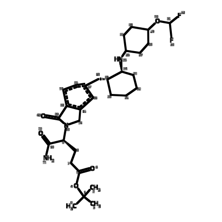 CC(C)(C)OC(=O)CC[C@@H](C(N)=O)N1Cc2cc(C[C@H]3CCCC[C@@H]3NC3CCC(OC(F)F)CC3)ccc2C1=O